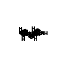 c1cc2c(-c3ccc4ccc5ccc(-c6c7cc[nH]c7c(-c7ccc8ccc9ccc(-c%10c%11cc[nH]c%11c(-c%11ccc%12ccc%13ccc(-c%14c%15cc[nH]c%15cc%15cc[nH]c%14%15)nc%13c%12n%11)c%11cc[nH]c%10%11)nc9c8n7)c7cc[nH]c67)nc5c4n3)c3[nH]ccc3cc2[nH]1